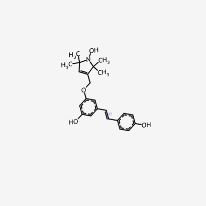 CC1(C)C=C(COc2cc(O)cc(/C=C/c3ccc(O)cc3)c2)C(C)(C)N1O